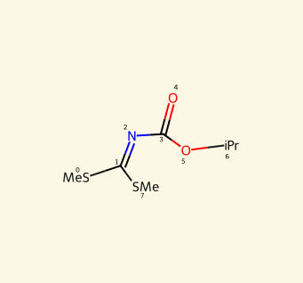 CSC(=NC(=O)OC(C)C)SC